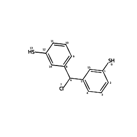 Sc1cccc(C(Cl)c2cccc(S)c2)c1